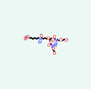 C=P(C)(OC)OCCCCCCNC(=O)CCCOC(COC(=O)NCCOCCOC)COC(=O)NCOCCOC